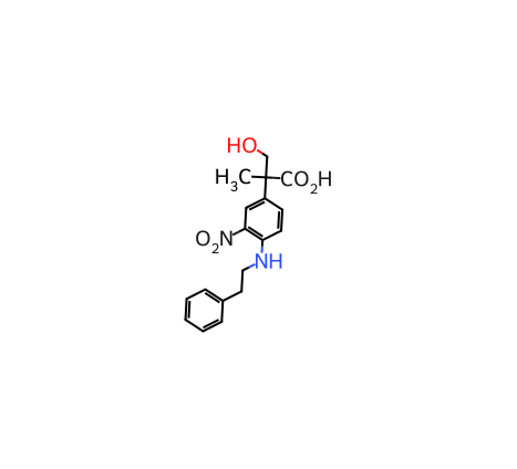 CC(CO)(C(=O)O)c1ccc(NCCc2ccccc2)c([N+](=O)[O-])c1